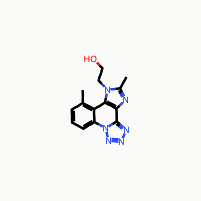 Cc1cccc2c1c1c(nc(C)n1CCO)c1nnnn21